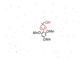 COc1cc(OC)c(C2OCC(C)(CO)CO2)c(OC)c1